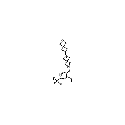 CCc1cc(C(F)(F)F)ncc1SN1CC2(C1)CN(C1CC3(COC3)C1)C2